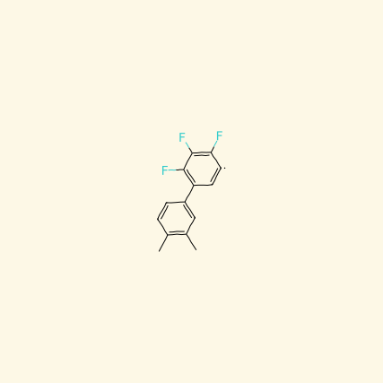 Cc1ccc(-c2c[c]c(F)c(F)c2F)cc1C